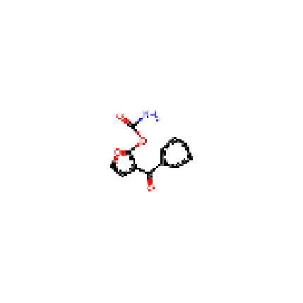 NC(=O)Oc1occc1C(=O)c1ccccc1